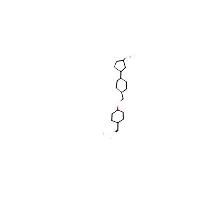 C=CC1CCC(OCC2CCC(C3CCC(CCC)C3)CC2)CC1